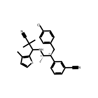 Cc1ccsc1C(N[C@@H](C)[C@@H](Cc1ccc(Cl)cc1)c1cccc(C#N)c1)C(C)(C)C#N